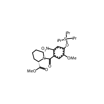 COC(=O)[C@@H]1CCCCN1C(=O)c1cc(OC)c(O[Si](C(C)C)(C(C)C)C(C)C)cc1[N+](=O)[O-]